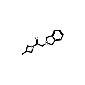 CC1CN(C(=O)CN2Cc3ccccc3C2)C1